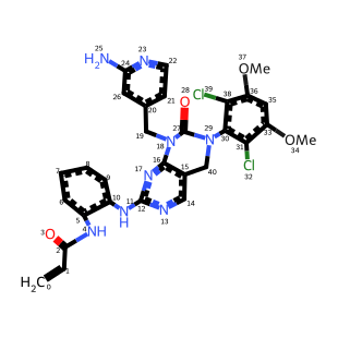 C=CC(=O)Nc1ccccc1Nc1ncc2c(n1)N(Cc1ccnc(N)c1)C(=O)N(c1c(Cl)c(OC)cc(OC)c1Cl)C2